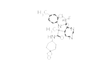 Cc1ccc(N(C(=O)[C@H](F)Cl)C(C)(C(=O)NC2CCC3(CC2)COC3)c2cncnc2)cc1